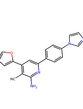 N#Cc1c(-c2ccco2)cc(-c2ccc(-n3ccnc3)cc2)nc1N